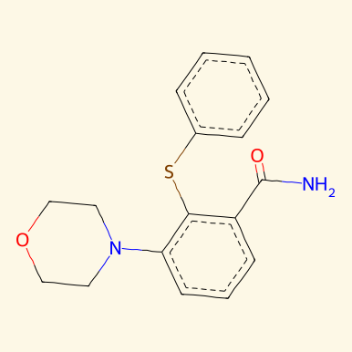 NC(=O)c1cccc(N2CCOCC2)c1Sc1ccccc1